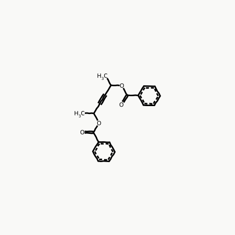 CC(C#CC(C)OC(=O)c1ccccc1)OC(=O)c1ccccc1